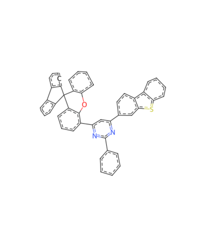 c1ccc(-c2nc(-c3ccc4c(c3)sc3ccccc34)cc(-c3cccc4c3Oc3ccccc3C43c4ccccc4-c4ccccc43)n2)cc1